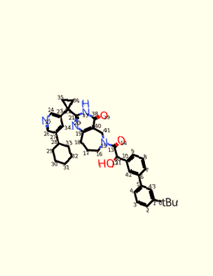 CC(C)(C)c1cccc(-c2cccc([C@@H](O)C(=O)N3CCCc4nc(C5(c6cncc(C7CCCCC7)c6)CC5)[nH]c(=O)c4C3)c2)c1